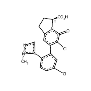 Cn1ncn1-c1ccc(Cl)cc1-c1cc2n(c(=O)c1Cl)[C@H](C(=O)O)CC2